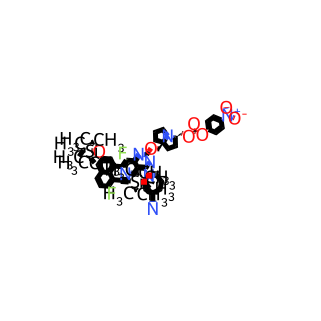 CC(C)[Si](C#Cc1c(F)ccc2cc(O[Si](C(C)C)(C(C)C)C(C)C)cc(-c3ncc4c(N5CCCC(C#N)CC5)nc(OC[C@@]56CCCN5[C@H](COC(=O)Oc5ccc([N+](=O)[O-])cc5)CC6)nc4c3F)c12)(C(C)C)C(C)C